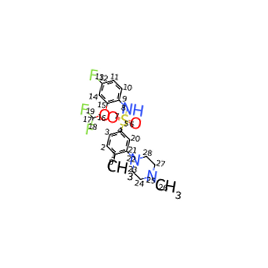 Cc1ccc(S(=O)(=O)Nc2ccc(F)cc2OC(F)F)cc1N1CCN(C)CC1